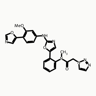 COc1cc(Nc2ncc(-c3ccccc3N(C)C(=O)Cn3ccnn3)o2)ccc1-c1cnco1